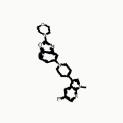 Cn1cc(C2=CCN(c3ccc4oc(N5CCOCC5)nc4c3)CC2)c2cc(F)cnc21